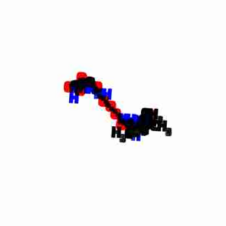 CC[C@@H]1C(=O)N(C)c2cnc(Nc3ccc(C(=O)NCCOCCOCCOCCNCC(=O)Nc4cccc5c4CN(C4CCC(=O)NC4=O)C5=O)cc3OC)nc2N1Cc1ccc(Cl)s1